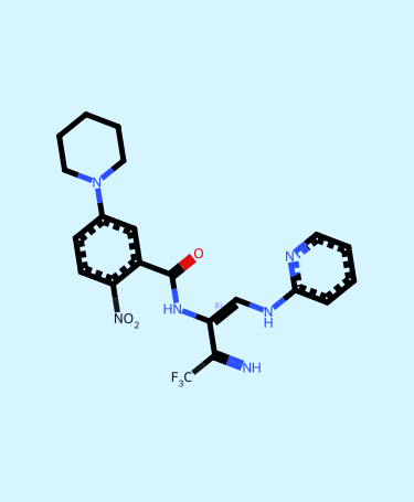 N=C(/C(=C\Nc1ccccn1)NC(=O)c1cc(N2CCCCC2)ccc1[N+](=O)[O-])C(F)(F)F